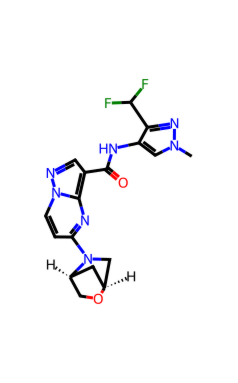 Cn1cc(NC(=O)c2cnn3ccc(N4C[C@@H]5C[C@H]4CO5)nc23)c(C(F)F)n1